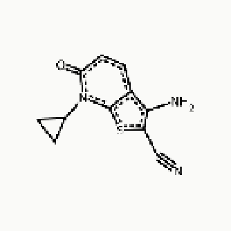 N#Cc1sc2c(ccc(=O)n2C2CC2)c1N